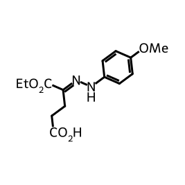 CCOC(=O)C(CCC(=O)O)=NNc1ccc(OC)cc1